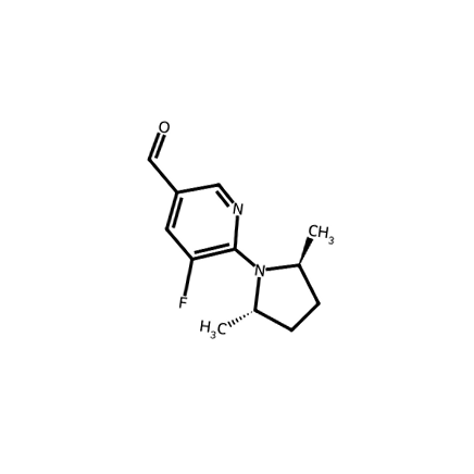 C[C@H]1CC[C@H](C)N1c1ncc(C=O)cc1F